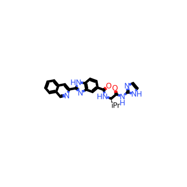 CC(C)[C@H](NC(=O)c1ccc2[nH]c(-c3cc4ccccc4cn3)nc2c1)C(=O)Nc1ncc[nH]1